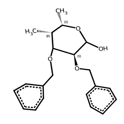 C[C@@H]1OC(O)[C@@H](OCc2ccccc2)C(OCc2ccccc2)[C@@H]1C